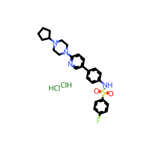 Cl.Cl.O=S(=O)(Nc1ccc(-c2ccc(N3CCN(C4CCCC4)CC3)nc2)cc1)c1ccc(F)cc1